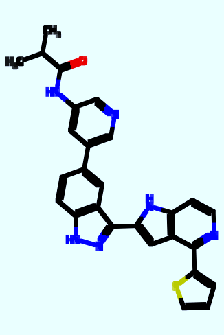 CC(C)C(=O)Nc1cncc(-c2ccc3[nH]nc(-c4cc5c(-c6cccs6)nccc5[nH]4)c3c2)c1